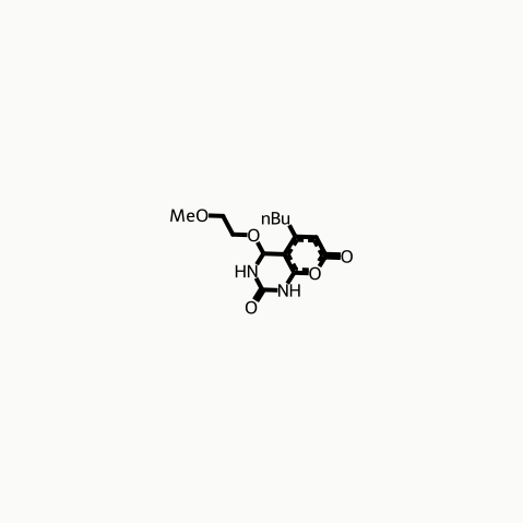 CCCCc1cc(=O)oc2c1C(OCCOC)NC(=O)N2